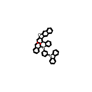 c1cc(N(c2ccccc2-c2cccc3oc4cc5ccccc5cc4c23)c2cccc3ccccc23)cc(-n2c3ccccc3c3ccccc32)c1